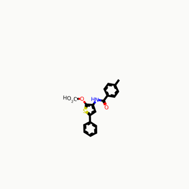 Cc1ccc(C(=O)Nc2cc(-c3ccccc3)sc2OC(=O)O)cc1